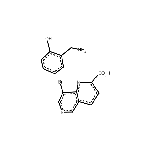 NCc1ccccc1O.O=C(O)c1ccc2cncc(Br)c2n1